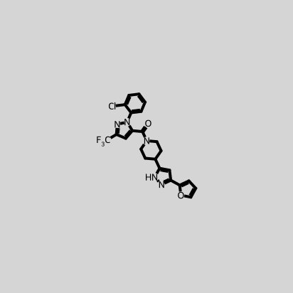 O=C(c1cc(C(F)(F)F)nn1-c1ccccc1Cl)N1CCC(c2cc(-c3ccco3)n[nH]2)CC1